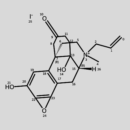 C=CC[N+]1(C)CC[C@]23CC(=O)CCC2(O)[C@H]1Cc1c3cc(O)c2c1O2.[I-]